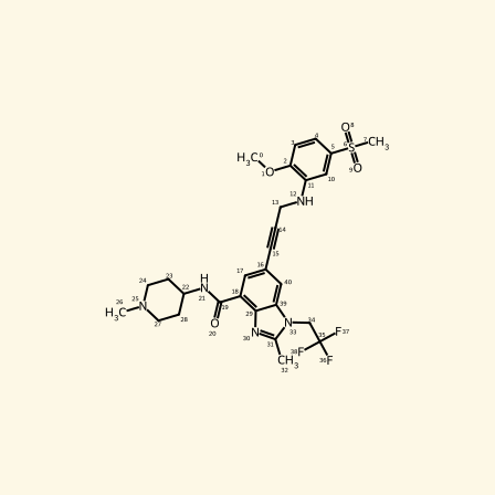 COc1ccc(S(C)(=O)=O)cc1NCC#Cc1cc(C(=O)NC2CCN(C)CC2)c2nc(C)n(CC(F)(F)F)c2c1